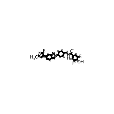 Cn1cc(-c2ccc3cn(C4CCC(CNC(=O)c5cc(F)c(O)c(F)c5)CC4)nc3c2)c(F)n1